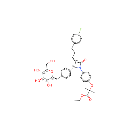 CCOC(=O)C(C)(C)Oc1ccc(N2C(=O)[C@H](CCCc3ccc(F)cc3)[C@H]2c2ccc(C[C@@H]3O[C@H](CO)[C@@H](O)[C@H](O)[C@H]3O)cc2)cc1